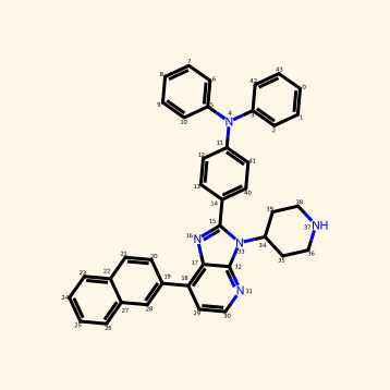 c1ccc(N(c2ccccc2)c2ccc(-c3nc4c(-c5ccc6ccccc6c5)ccnc4n3C3CCNCC3)cc2)cc1